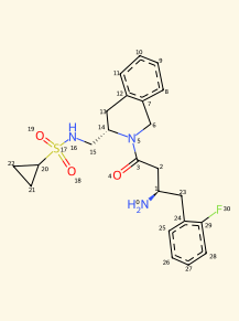 N[C@@H](CC(=O)N1Cc2ccccc2C[C@H]1CNS(=O)(=O)C1CC1)Cc1ccccc1F